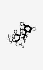 CC(C)C[C@H](NC(F)(c1cc(Cl)cc(Cl)c1)C(F)F)C(=O)O